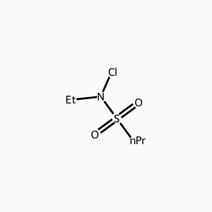 CCCS(=O)(=O)N(Cl)CC